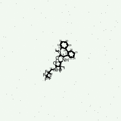 CN1C(=O)[C@@H](NC(=O)[C@](C)(F)C(=O)NCC(F)(F)C(F)(F)F)c2ccccc2-c2ccccc21